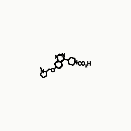 CN1CCCC1COc1ccc2c(C3CCN(C(=O)O)CC3)ncnc2c1